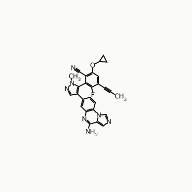 CC#Cc1cc(OC2CC2)c(C#N)c(-c2c(-c3ccc4c(c3)nc(N)c3cncn34)cnn2C)c1F